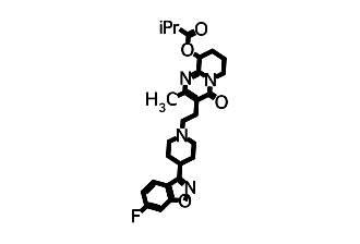 Cc1nc2n(c(=O)c1CCN1CCC(c3noc4cc(F)ccc34)CC1)CCCC2OC(=O)C(C)C